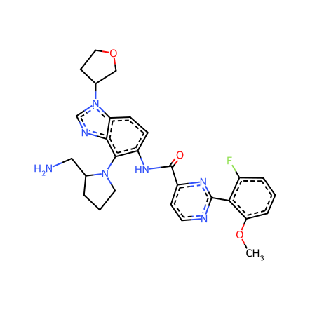 COc1cccc(F)c1-c1nccc(C(=O)Nc2ccc3c(ncn3C3CCOC3)c2N2CCCC2CN)n1